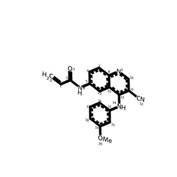 C=CC(=O)Nc1ccc2ncc(C#N)c(Nc3cccc(OC)c3)c2c1